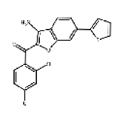 Nc1c(C(=O)c2ccc(Cl)cc2Cl)oc2cc(-c3cccs3)ccc12